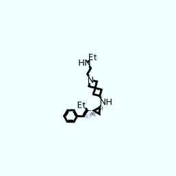 CCNCCN1CC2(CC(N[C@H]3C[C@@H]3/C(=C/c3ccccc3)CC)C2)C1